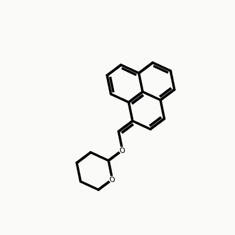 C(OC1CCCCO1)=c1ccc2cccc3cccc1c32